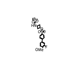 COc1ccc(-c2ccc(S(=O)(=O)O[C@H]3C[C@@H](NC(=O)OC(C)(C)C)C3)cc2)cc1F